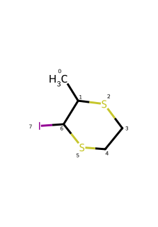 CC1SCCSC1I